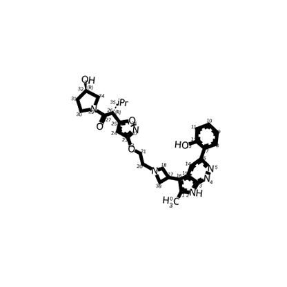 Cc1[nH]c2nnc(-c3ccccc3O)cc2c1C1CN(CCOc2cc([C@H](C(=O)N3CC[C@@H](O)C3)C(C)C)on2)C1